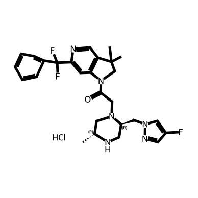 C[C@@H]1CN(CC(=O)N2CC(C)(C)c3cnc(C(F)(F)c4ccccc4)cc32)[C@@H](Cn2cc(F)cn2)CN1.Cl